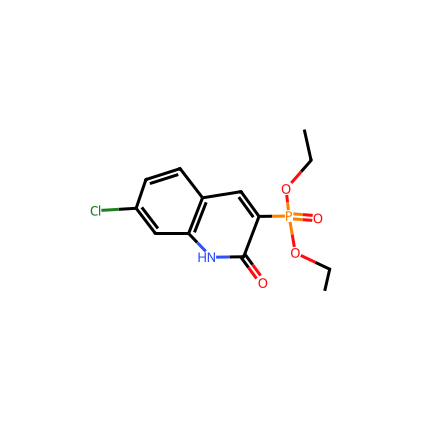 CCOP(=O)(OCC)c1cc2ccc(Cl)cc2[nH]c1=O